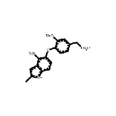 CCOC(=O)Cc1ccc(Oc2ccc3[nH]c(C)cc3c2[N+](=O)[O-])c(OC)c1